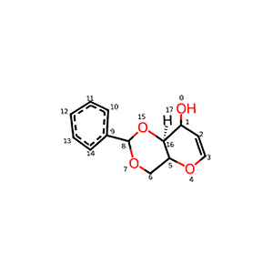 OC1C=COC2COC(c3ccccc3)O[C@@H]12